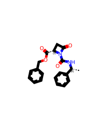 C[C@@H](NC(=O)N1C(=O)C[C@H]1C(=O)OCc1ccccc1)c1ccccc1